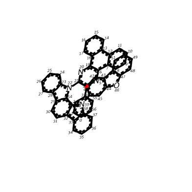 c1ccc(-c2nc3c4ccccc4c4ccccc4c3nc2-n2c3ccccc3c3ccc4c5ccccc5n(-c5ccc6c(c5)oc5ccccc56)c4c32)cc1